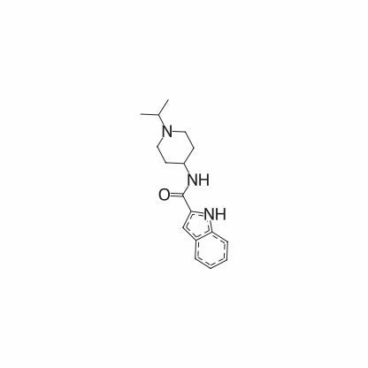 CC(C)N1CCC(NC(=O)c2cc3ccccc3[nH]2)CC1